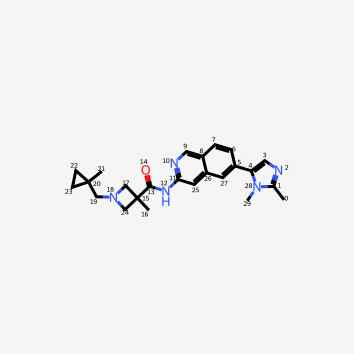 Cc1ncc(-c2ccc3cnc(NC(=O)C4(C)CN(CC5(C)CC5)C4)cc3c2)n1C